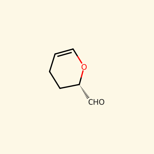 O=C[C@@H]1CCC=CO1